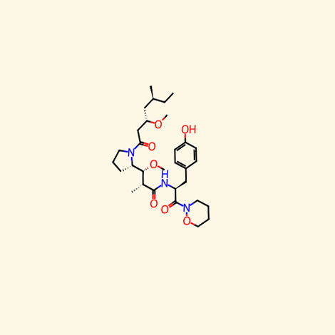 CC[C@H](C)C[C@@H](CC(=O)N1CCC[C@H]1[C@H](OC)[C@@H](C)C(=O)N[C@@H](Cc1ccc(O)cc1)C(=O)N1CCCCO1)OC